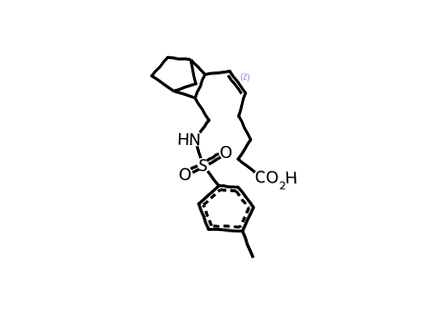 Cc1ccc(S(=O)(=O)NCC2C3CCC(C3)C2/C=C\CCCC(=O)O)cc1